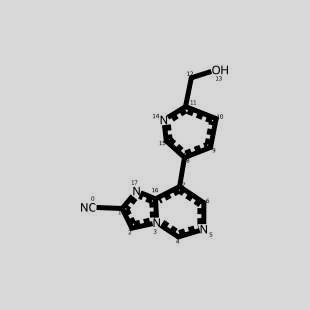 N#Cc1cn2cncc(-c3ccc(CO)nc3)c2n1